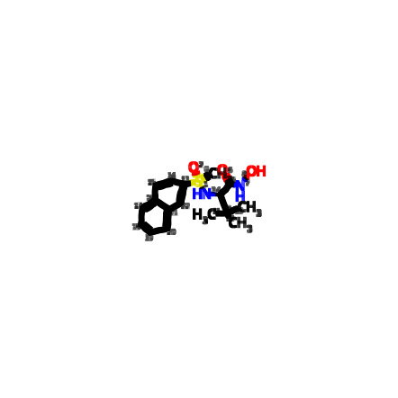 C=S(=O)(N[C@@H](C(=O)NO)C(C)(C)C)c1ccc2ccccc2c1